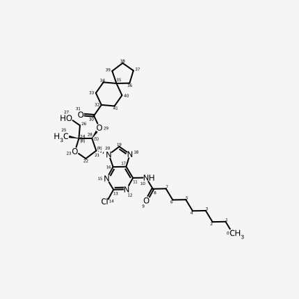 CCCCCCCCC(=O)Nc1nc(Cl)nc2c1ncn2[C@@H]1CO[C@](C)(CO)[C@H]1OC(=O)C1CCC2(CCCC2)CC1